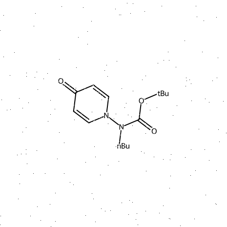 CCCCN(C(=O)OC(C)(C)C)n1ccc(=O)cc1